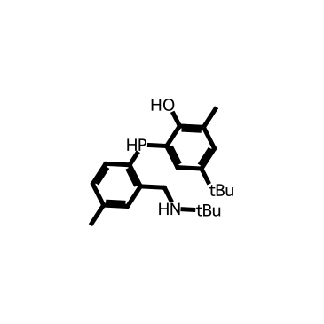 Cc1ccc(Pc2cc(C(C)(C)C)cc(C)c2O)c(CNC(C)(C)C)c1